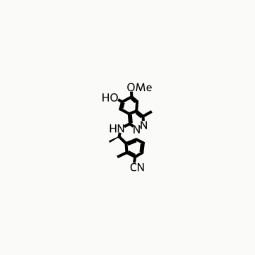 COc1cc2c(C)nnc(N[C@H](C)c3cccc(C#N)c3C)c2cc1O